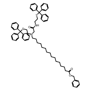 O=C(CN(CCCCCCCCCCCCCCCC(=O)OCc1ccccc1)CCSC(c1ccccc1)(c1ccccc1)c1ccccc1)NCCSC(c1ccccc1)(c1ccccc1)c1ccccc1